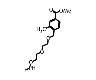 COC(=O)c1ccc(COCCOCCOPI)c(C)c1